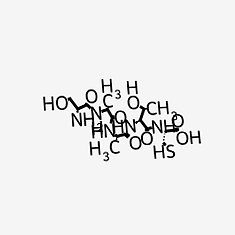 C[C@H](NC(=O)[C@H](C)NC(=O)[C@@H](N)CO)C(=O)N[C@H](C(=O)N[C@@H](CS)C(=O)O)[C@@H](C)O